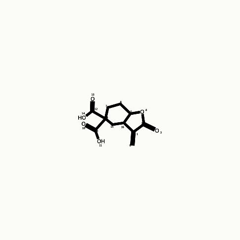 C=C1C(=O)OC2CCC(C(=O)O)(C(=O)O)CC12